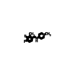 Cc1c(CNC2CCN(C)CC2)ccc(F)c1F